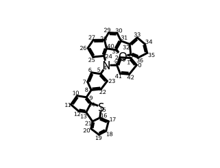 c1ccc(N(c2ccc(-c3cccc4c3sc3ccccc34)cc2)c2cccc3ccc4c5ccccc5oc4c23)cc1